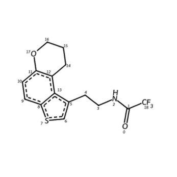 O=C(NCCc1csc2ccc3c(c12)CCCO3)C(F)(F)F